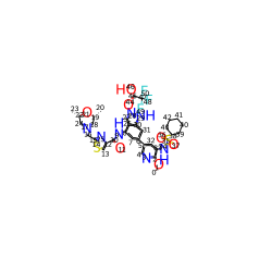 COc1ncc(-c2cc(NC(=O)c3csc(CN4C[C@@H](C)O[C@@H](C)C4)n3)c3cn[nH]c3c2)cc1NS(=O)(=O)C1CCCCC1.O=C(O)C(F)(F)F